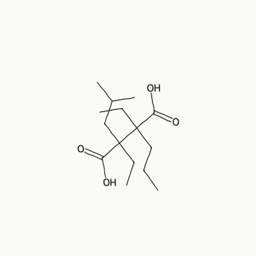 CCCC(CC)(C(=O)O)C(CC)(CC(C)C)C(=O)O